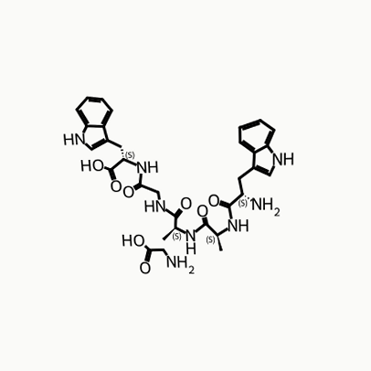 C[C@H](NC(=O)[C@H](C)NC(=O)[C@@H](N)Cc1c[nH]c2ccccc12)C(=O)NCC(=O)N[C@@H](Cc1c[nH]c2ccccc12)C(=O)O.NCC(=O)O